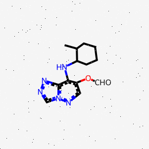 CC1CCCCC1Nc1c(OC=O)cnn2cnnc12